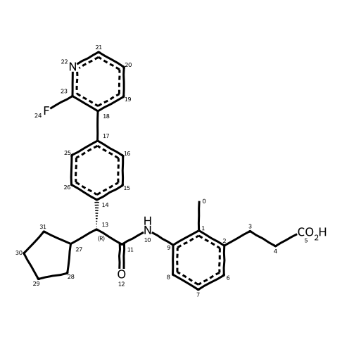 Cc1c(CCC(=O)O)cccc1NC(=O)[C@@H](c1ccc(-c2cccnc2F)cc1)C1CCCC1